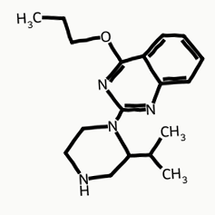 CCCOc1nc(N2CCNCC2C(C)C)nc2ccccc12